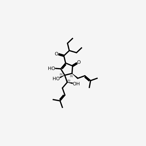 CCC(CC)C(=O)C1=C(O)[C@@](O)([C@@H](O)CC=C(C)C)[C@H](CC=C(C)C)C1=O